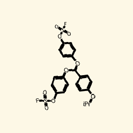 CC(C)Oc1ccc(C(Oc2ccc(OS(=O)(=O)F)cc2)Oc2ccc(OS(=O)(=O)F)cc2)cc1